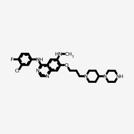 CNc1cc2c(Nc3ccc(F)c(Cl)c3)ncnc2cc1OCCCN1CCC(N2CCNCC2)CC1